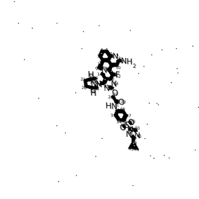 C#Cc1cccc2nc(N)cc(-c3ncc4c(N5C[C@H]6CC[C@@H](C5)N6)nc(OCC(=O)Nc5ccc(S(=O)(=O)n6cnc(C7CC7)n6)cc5)nc4c3F)c12